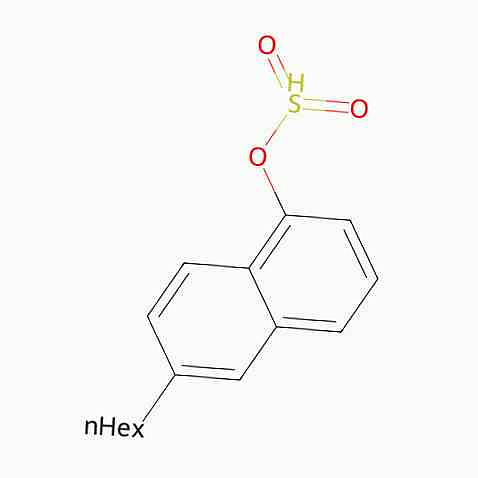 CCCCCCc1ccc2c(O[SH](=O)=O)cccc2c1